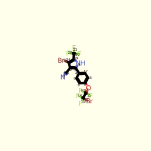 N#Cc1c(-c2ccc(OC(F)(F)C(F)(F)Br)cc2)[nH]c(C(F)(F)F)c1Br